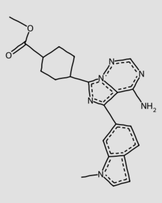 COC(=O)C1CCC(c2nc(-c3ccc4ccn(C)c4c3)c3c(N)ncnn23)CC1